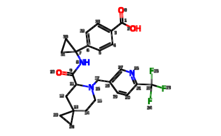 O=C(O)c1ccc(C2(NC(=O)C3CC4(CCN3Cc3ccc(C(F)(F)F)nc3)CC4)CC2)cc1